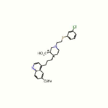 COc1ccc2nccc(CCC[C@@H]3CCN(CCSc4cccc(Cl)c4)C[C@@H]3C(=O)O)c2c1